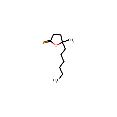 CCCCCCC1(C)CCC(=S)O1